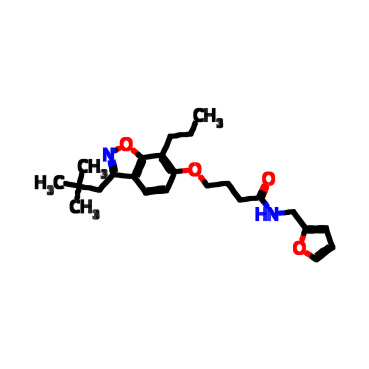 CCCc1c(OCCCC(=O)NCc2ccco2)ccc2c(CC(C)(C)C)noc12